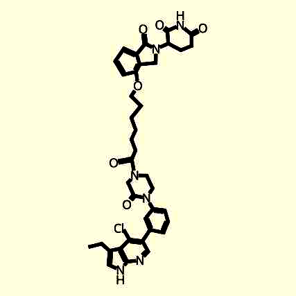 CCc1c[nH]c2ncc(-c3cccc(N4CCN(C(=O)CCCCCCOc5cccc6c5CN(C5CCC(=O)NC5=O)C6=O)CC4=O)c3)c(Cl)c12